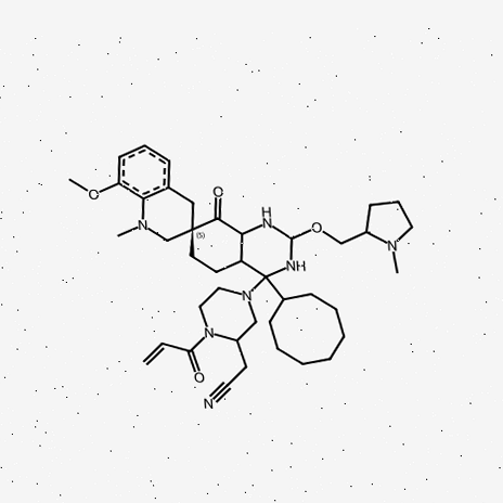 C=CC(=O)N1CCN(C2(C3CCCCCCC3)NC(OCC3CCCN3C)NC3C(=O)[C@@]4(CCC32)Cc2cccc(OC)c2N(C)C4)CC1CC#N